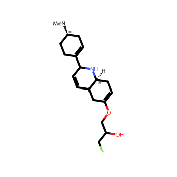 CN[C@H]1CC=C(C2C=CC3CC(OCC(O)CF)=CC[C@@H]3N2)CC1